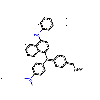 CNC=c1ccc(=C(c2ccc(N(C)C)cc2)c2ccc(Nc3ccccc3)c3ccccc23)cc1